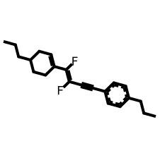 CCCc1ccc(C#CC(F)=C(F)C2=CCC(CCC)CC2)cc1